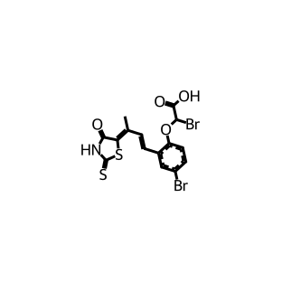 CC(C=Cc1cc(Br)ccc1OC(Br)C(=O)O)=C1SC(=S)NC1=O